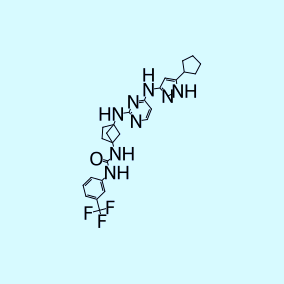 O=C(Nc1cccc(C(F)(F)F)c1)NC12CCC(Nc3nccc(Nc4cc(C5CCCC5)[nH]n4)n3)(C1)C2